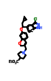 CCOC(=O)C1CCN(CC2=Cc3ccc(OC(CC4CC4)c4ccc5[nH]nc(Cl)c5c4)cc3OC2)CC1